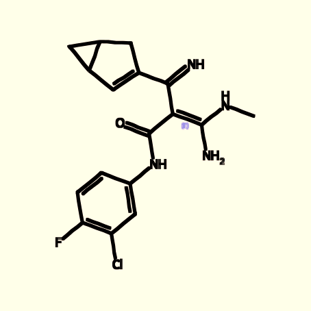 CN/C(N)=C(\C(=N)C1=CC2CC2C1)C(=O)Nc1ccc(F)c(Cl)c1